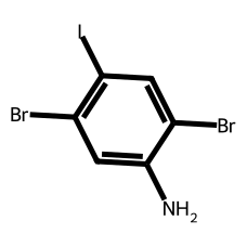 Nc1cc(Br)c(I)cc1Br